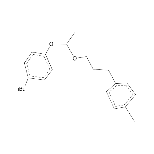 CCC(C)c1ccc(OC(C)OCCCc2ccc(C)cc2)cc1